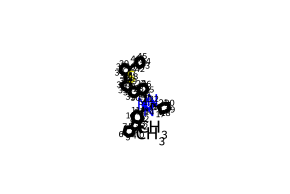 CC1(C)c2ccccc2-c2ccc(-c3nc(-c4ccccc4)nc(-c4cccc5c4ccc4ccc6c7cccc(-c8ccccc8)c7sc6c45)n3)cc21